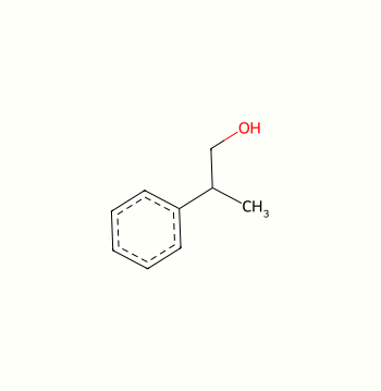 CC(CO)c1ccccc1